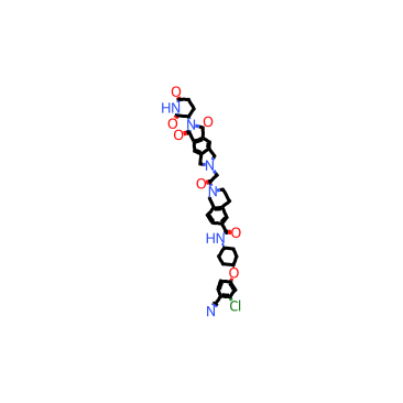 N#Cc1ccc(O[C@H]2CC[C@H](NC(=O)c3ccc4c(c3)CCN(C(=O)CN3Cc5cc6c(cc5C3)C(=O)N(C3CCC(=O)NC3=O)C6=O)C4)CC2)cc1Cl